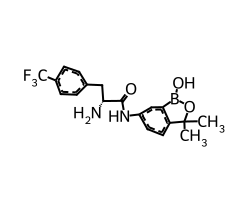 CC1(C)OB(O)c2cc(NC(=O)[C@H](N)Cc3ccc(C(F)(F)F)cc3)ccc21